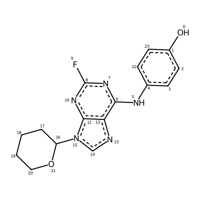 Oc1ccc(Nc2nc(F)nc3c2ncn3C2CCCCO2)cc1